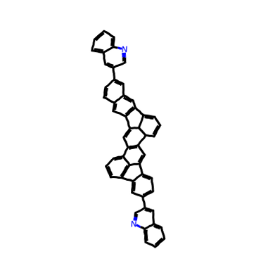 C1=CC2c3cc4c5c(cccc5c3C=C3c5cc6ccc(-c7cnc8ccccc8c7)cc6cc5C(=C1)C32)-c1cc(-c2cnc3ccccc3c2)ccc1-4